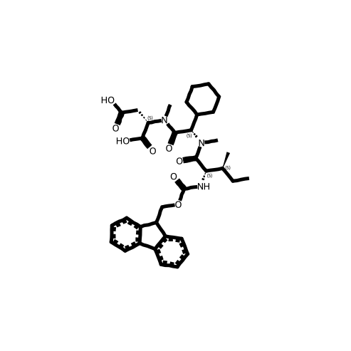 CC[C@H](C)[C@H](NC(=O)OCC1c2ccccc2-c2ccccc21)C(=O)N(C)[C@H](C(=O)N(C)[C@@H](CC(=O)O)C(=O)O)C1CCCCC1